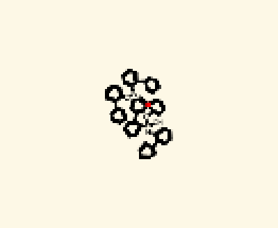 O[PH](Oc1ccccc1COP(Oc1ccccc1-c1ccccc1)c1ccccc1-c1ccccc1)(Oc1ccccc1-c1ccccc1)c1ccccc1-c1ccccc1